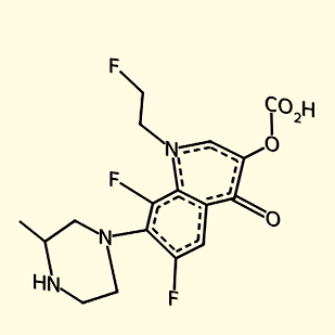 CC1CN(c2c(F)cc3c(=O)c(OC(=O)O)cn(CCF)c3c2F)CCN1